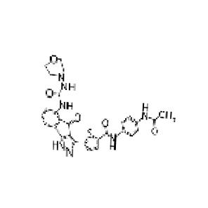 CC(=O)Nc1ccc(NC(=O)c2ccc(-c3n[nH]c4c3C(=O)c3c(NC(=O)NN5CCOCC5)cccc3-4)s2)cc1